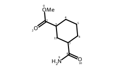 COC(=O)C1CCCC(C(N)=O)C1